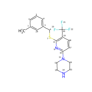 Cc1cccc(CSc2nc(N3CCNCC3)ccc2C(F)(F)F)c1